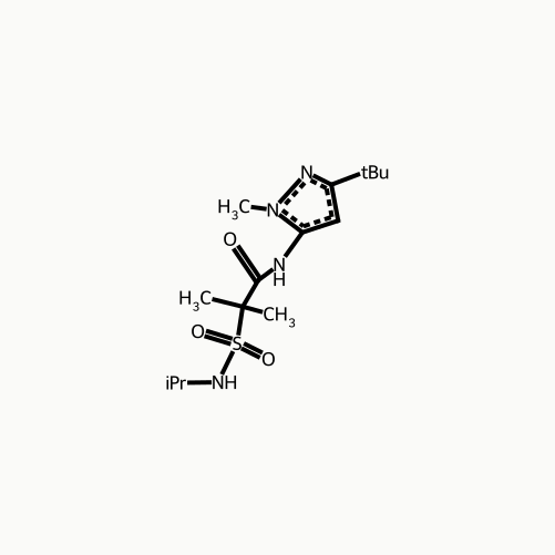 CC(C)NS(=O)(=O)C(C)(C)C(=O)Nc1cc(C(C)(C)C)nn1C